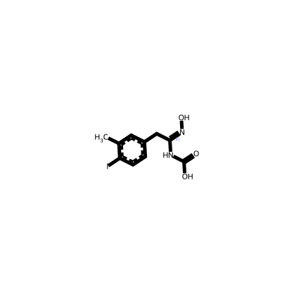 Cc1cc(C/C(=N\O)NC(=O)O)ccc1I